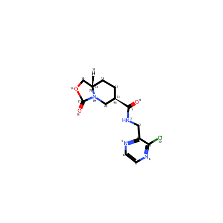 O=C(NCc1nccnc1Cl)[C@@H]1CC[C@H]2COC(=O)N2C1